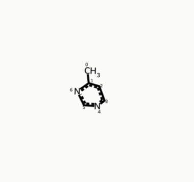 Cc1[c]cncn1